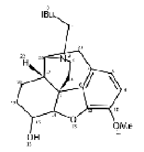 CCC(C)CN1CC[C@@]23c4c5ccc(OC)c4OC2C(O)CC[C@@H]3C1C5